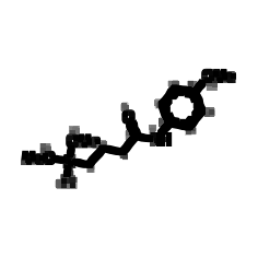 CC[Si](CCCC(=O)Nc1ccc(OC)cc1)(OC)OC